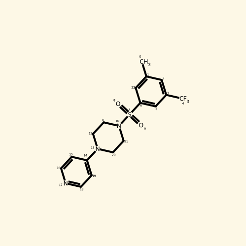 Cc1cc(C(F)(F)F)cc(S(=O)(=O)N2CCN(c3ccncc3)CC2)c1